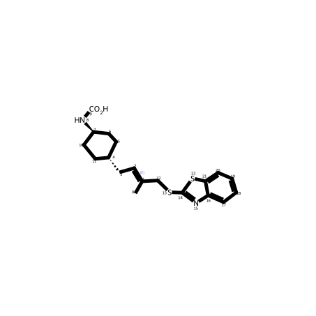 C/C(=C\C[C@H]1CC[C@H](NC(=O)O)CC1)CSc1nc2ccccc2s1